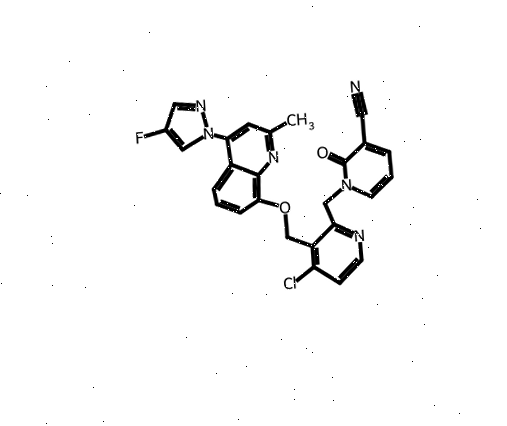 Cc1cc(-n2cc(F)cn2)c2cccc(OCc3c(Cl)ccnc3Cn3cccc(C#N)c3=O)c2n1